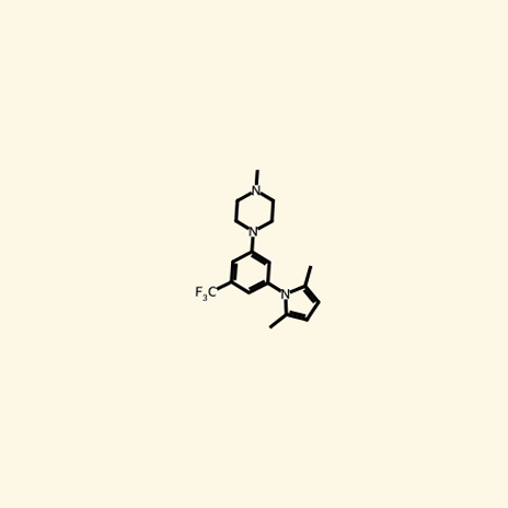 Cc1ccc(C)n1-c1cc(N2CCN(C)CC2)cc(C(F)(F)F)c1